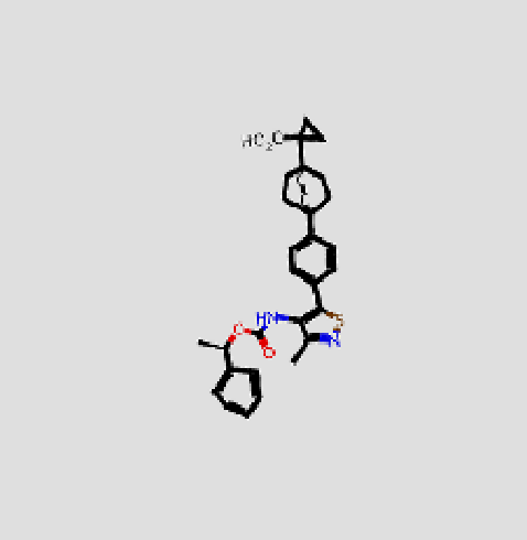 Cc1nsc(-c2ccc(C34CCC(C5(C(=O)O)CC5)(CC3)CC4)cc2)c1NC(=O)O[C@H](C)c1ccccc1